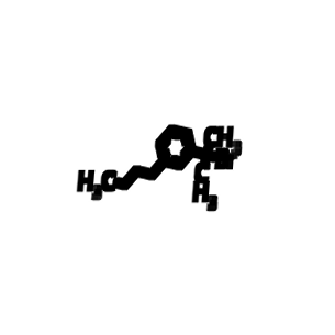 CCCCc1cccc(C(C)(C)Br)c1